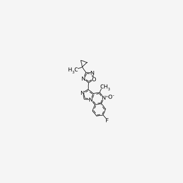 Cc1c2c(-c3nc(C4(C)CC4)no3)ncn2c2ccc(F)cc2[n+]1[O-]